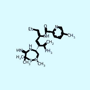 C=C(P)/C(=C\C(=C/CC)NC(=O)c1ccc(C)cn1)[C@@H]1CN(C)SC(C)(C)C(=N)N1